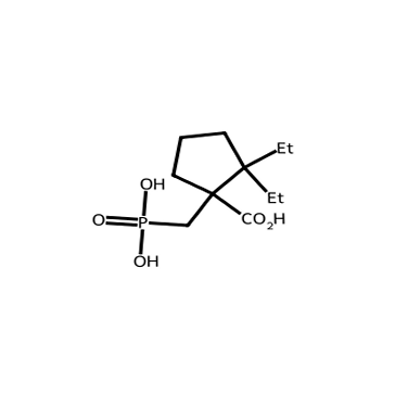 CCC1(CC)CCCC1(CP(=O)(O)O)C(=O)O